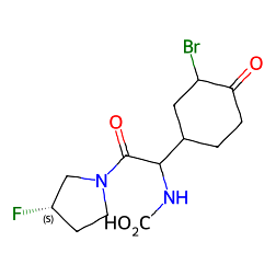 O=C(O)NC(C(=O)N1CC[C@H](F)C1)C1CCC(=O)C(Br)C1